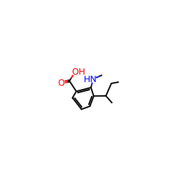 CCC(C)c1cccc(C(=O)O)c1NC